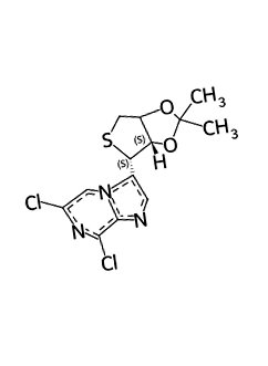 CC1(C)OC2CS[C@@H](c3cnc4c(Cl)nc(Cl)cn34)[C@H]2O1